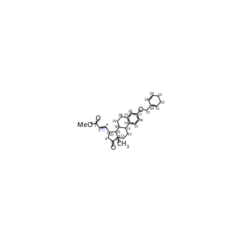 COC(=O)/C=C/[C@@H]1CC(=O)[C@@]2(C)CCC3c4ccc(OCC5=CCCC=C5)cc4CCC3C12